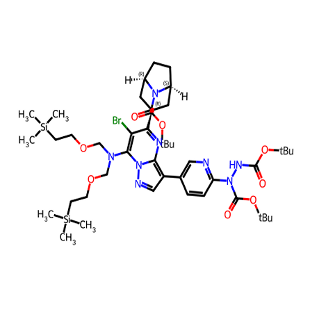 CC(C)(C)OC(=O)NN(C(=O)OC(C)(C)C)c1ccc(-c2cnn3c(N(COCC[Si](C)(C)C)COCC[Si](C)(C)C)c(Br)c([C@H]4C[C@H]5CC[C@@H](C4)N5C(=O)OC(C)(C)C)nc23)cn1